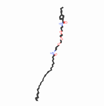 C=CC#Cc1ccc(C(=O)NCCCOCCOCCOCCCNC(=O)CCCCCCCCC#CC#CCCCCCCCCCCCC)cc1